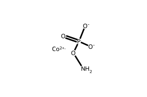 NOP(=O)([O-])[O-].[Co+2]